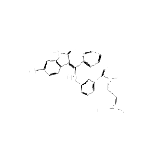 CN(C)CCN(C)C(=O)c1cccc(NC(=C2C(=O)Nc3cc(Cl)ccc32)c2ccccc2)c1